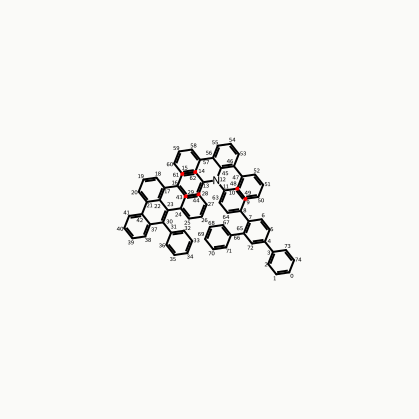 c1ccc(-c2ccc(-c3ccc(N(c4ccc(-c5cccc6c5c(-c5ccccc5)c(-c5ccccc5)c5ccccc56)cc4)c4c(-c5ccccc5)cccc4-c4ccccc4)cc3)c(-c3ccccc3)c2)cc1